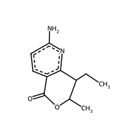 CCC1c2nc(N)ccc2C(=O)OC1C